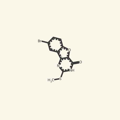 CSc1nc2c(oc3ccc(Br)cc32)c(=O)[nH]1